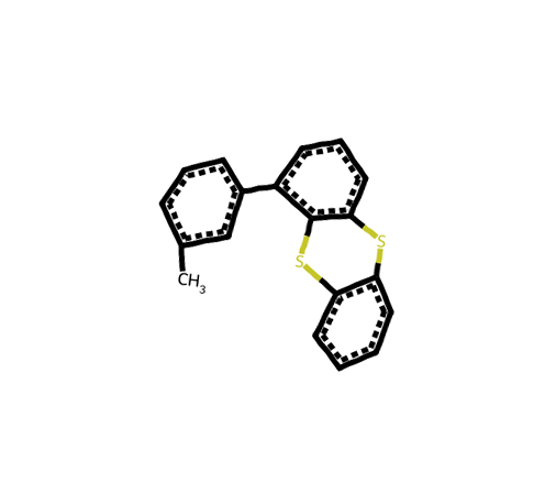 Cc1cccc(-c2cccc3c2Sc2ccccc2S3)c1